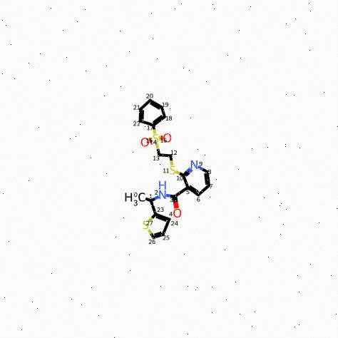 CC(NC(=O)c1cccnc1SCCS(=O)(=O)c1ccccc1)c1cccs1